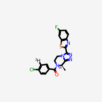 [2H]c1cc(C(=O)N2CCn3c(-c4nc5ccc(F)cc5s4)nnc3[C@H]2C)ccc1Cl